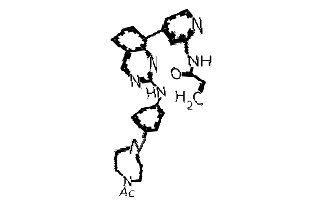 C=CC(=O)Nc1cc(-c2cccc3cnc(Nc4ccc(N5CCN(C(C)=O)CC5)cc4)nc23)ccn1